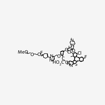 COCCOCCOC[C@]1(F)CC=C(c2nccc(COc3ccc4cc3CC(C(=O)O)Oc3ncnc5sc6c7ccc(F)cc7c7c(Cl)c(c(Cl)c(C)c7c6c35)O[C@H](CN3CCN(C)CC3)CO4)n2)CC1